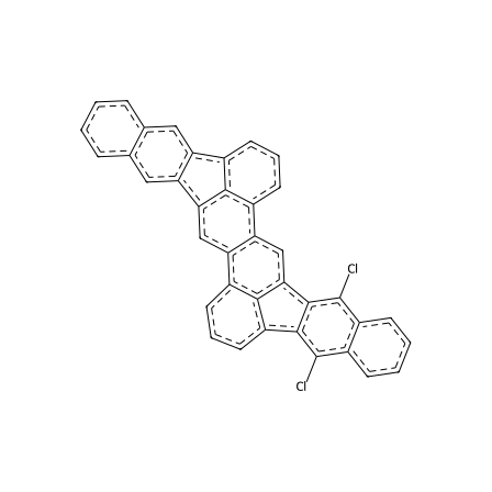 Clc1c2ccccc2c(Cl)c2c3cc4c(cc5c6cc7ccccc7cc6c6cccc4c65)c4cccc(c12)c43